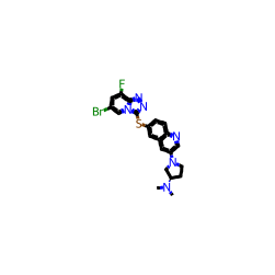 CN(C)[C@H]1CCN(c2cnc3ccc(Sc4nnc5c(F)cc(Br)cn45)cc3c2)C1